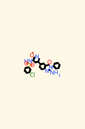 COc1ncc(-c2ccc3nc(N)n(-c4ccccc4)c(=O)c3c2)cc1NS(=O)(=O)c1cccc(Cl)c1